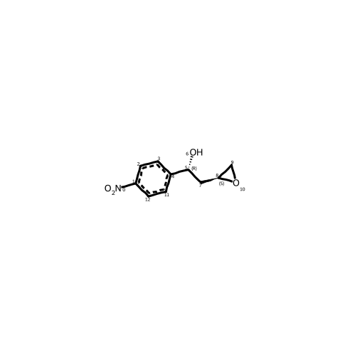 O=[N+]([O-])c1ccc([C@H](O)C[C@H]2CO2)cc1